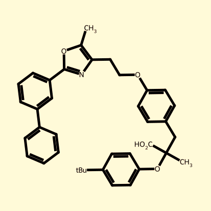 Cc1oc(-c2cccc(-c3ccccc3)c2)nc1CCOc1ccc(CC(C)(Oc2ccc(C(C)(C)C)cc2)C(=O)O)cc1